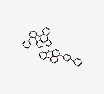 c1ccc(-c2ccc(-c3ccc(N(c4ccc(-c5ccccc5-n5c6ccccc6c6c(-c7ccccc7)cccc65)cc4)c4ccccc4-c4ccccc4)cc3)cc2)cc1